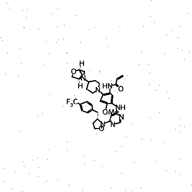 C=CC(=O)Nc1cc(Nc2cc(N3OCC[C@@H]3Cc3ccc(C(F)(F)F)cc3)ncn2)c(OC)cc1N1CCC(N2C[C@H]3C[C@@H]2CO3)CC1